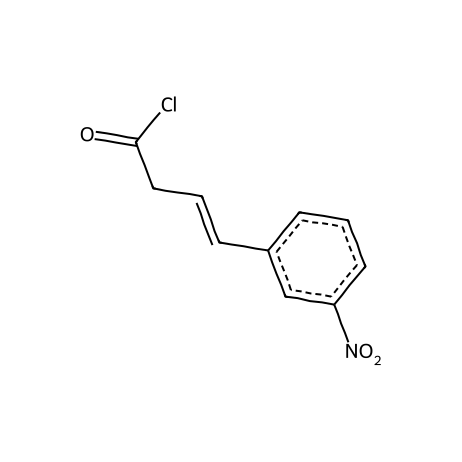 O=C(Cl)CC=Cc1cccc([N+](=O)[O-])c1